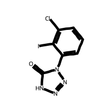 O=c1[nH]nnn1-c1cccc(Cl)c1I